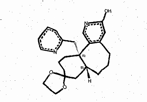 Oc1cc2c(cn1)[C@]1(Cc3ccccn3)CCC3(C[C@H]1CCC2)OCCO3